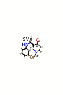 CSC(Nc1cccc(Br)c1)=C1CN(C(C)=O)CCC1=O